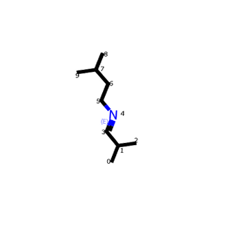 CC(C)/C=N/CCC(C)C